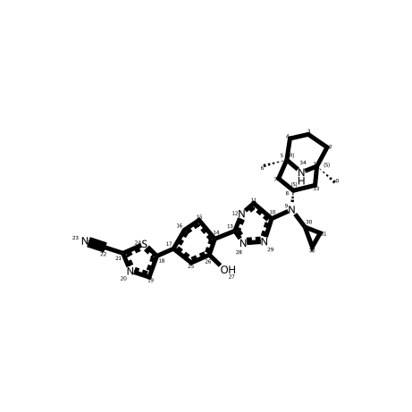 C[C@]12CCC[C@](C)(C[C@@H](N(c3cnc(-c4ccc(-c5cnc(C#N)s5)cc4O)nn3)C3CC3)C1)N2